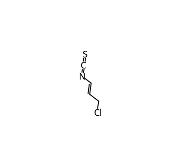 S=C=N/C=C/CCl